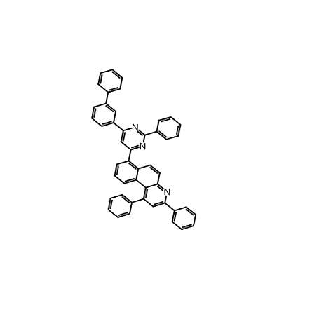 c1ccc(-c2cccc(-c3cc(-c4cccc5c4ccc4nc(-c6ccccc6)cc(-c6ccccc6)c45)nc(-c4ccccc4)n3)c2)cc1